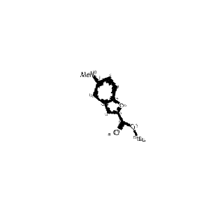 CNc1ccc2oc(C(=O)OC(C)(C)C)cc2c1